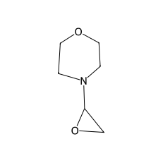 C1CN(C2CO2)CCO1